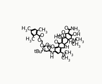 Cc1cc(C)c(C(=O)OCOC(=O)N(CC(=O)Nc2cc(N(C)C)c3c(c2O)C(=O)C2=C(O)[C@]4(O)C(=O)C(C(N)=O)=C(O)[C@@H](N(C)C)[C@@H]4C[C@@H]2C3)C(C)(C)C)c(C)c1